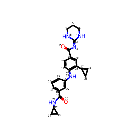 O=C(N=C1NCCCN1)c1ccc(Nc2cccc(C(=O)NC3CC3)c2)c(C2CC2)c1